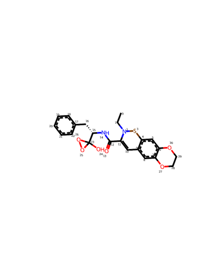 CCN1Sc2cc3c(cc2C=C1C(=O)N[C@@H](Cc1ccccc1)C1(O)OO1)OCCO3